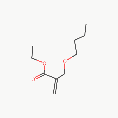 C=C(COCCCC)C(=O)OCC